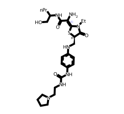 CCCC(CO)NC(=O)/C(N)=C1\S[C@H](CNc2ccc(NC(=O)NCCN3CCCC3)cc2)C(=O)N1CC